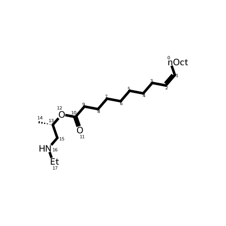 CCCCCCCC/C=C\CCCCCCCC(=O)O[C@@H](C)CNCC